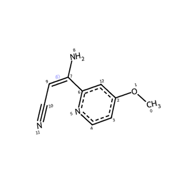 COc1ccnc(/C(N)=C\C#N)c1